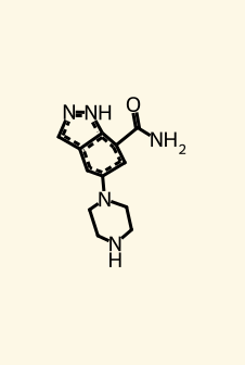 NC(=O)c1cc(N2CCNCC2)cc2cn[nH]c12